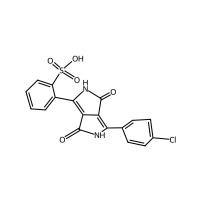 O=C1NC(c2ccccc2S(=O)(=O)O)=C2C(=O)NC(c3ccc(Cl)cc3)=C12